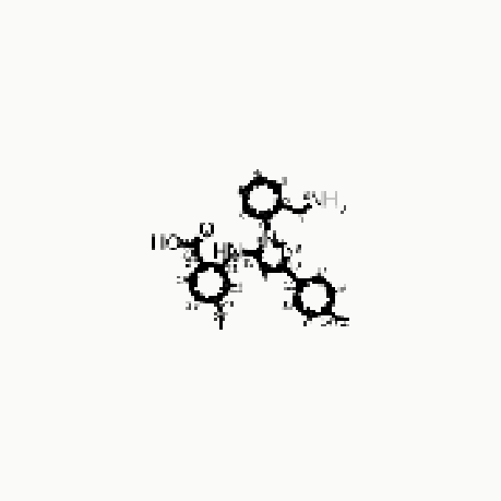 NCc1ccccc1-n1nc(-c2ccc(F)cc2)cc1Nc1cc(F)ccc1C(=O)O